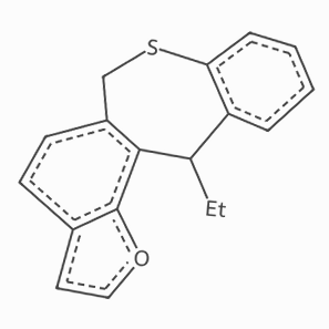 CCC1c2ccccc2SCc2ccc3ccoc3c21